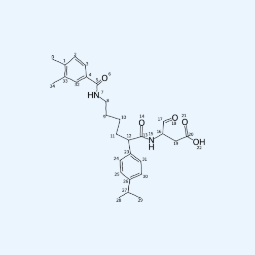 Cc1ccc(C(=O)NCCCCC(C(=O)NC(C=O)CC(=O)O)c2ccc(C(C)C)cc2)cc1C